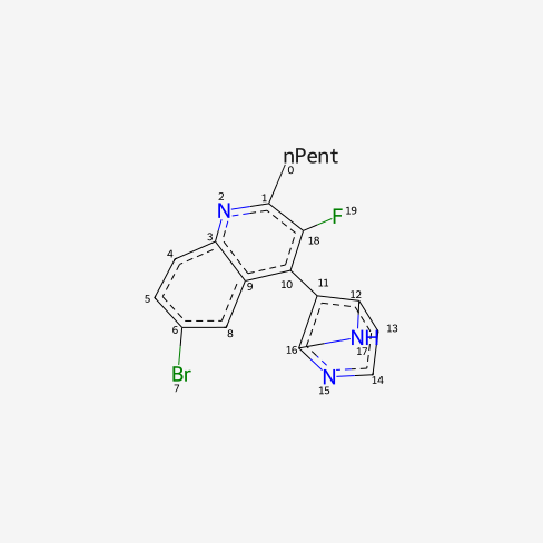 CCCCCc1nc2ccc(Br)cc2c(-c2c3ccnc2N3)c1F